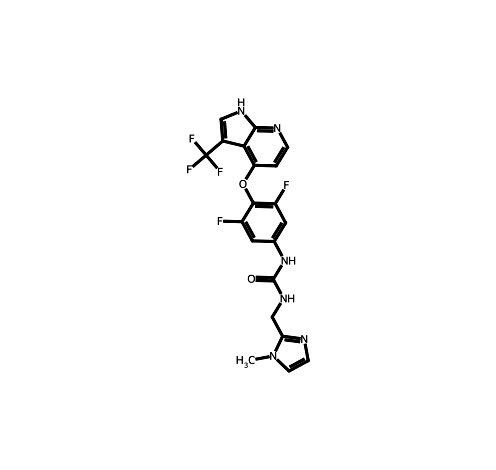 Cn1ccnc1CNC(=O)Nc1cc(F)c(Oc2ccnc3[nH]cc(C(F)(F)F)c23)c(F)c1